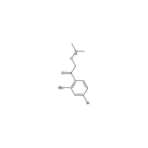 C[SiH](C)OCC(=O)c1ccc(Br)cc1C(C)(C)C